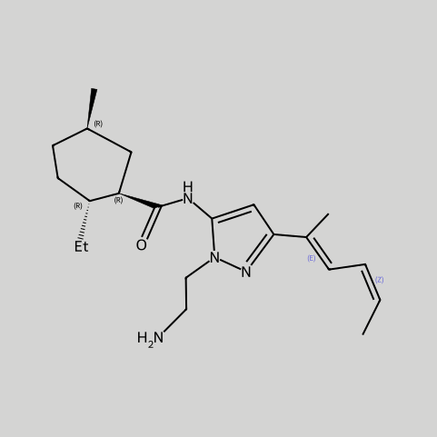 C/C=C\C=C(/C)c1cc(NC(=O)[C@@H]2C[C@H](C)CC[C@H]2CC)n(CCN)n1